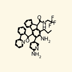 CCCc1c(N)c(-c2ccc(N)nc2)c(C(=O)c2ccccc2-c2ccccn2)c2c1C(C(=O)NCC(F)(F)F)c1ccccc1-2